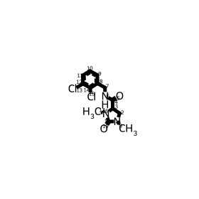 CN1CC(C(=O)NCc2cccc(Cl)c2Cl)N(C)C1=O